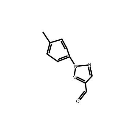 Cc1ccc(-n2ncc(C=O)n2)cc1